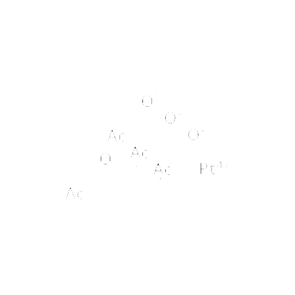 CC(=O)[O-].CC(=O)[O-].CC(=O)[O-].CC(=O)[O-].[Pt+4]